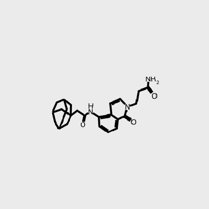 NC(=O)CCn1ccc2c(NC(=O)CC34CC5CC(CC(C5)C3)C4)cccc2c1=O